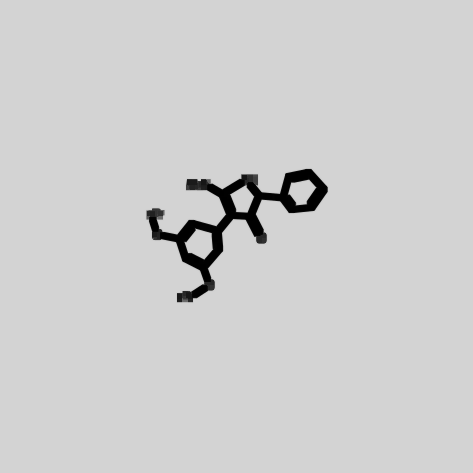 CCCOc1cc(OCCC)cc(C2=C(NC)NC(c3ccccc3)C2=O)c1